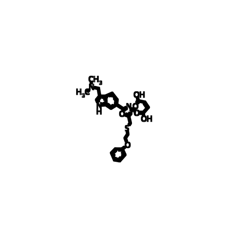 CN(C)Cc1c[nH]c2cc(-c3nnc(CSCCOc4ccccc4)o3)ccc12.O=C(O)/C=C\C(=O)O